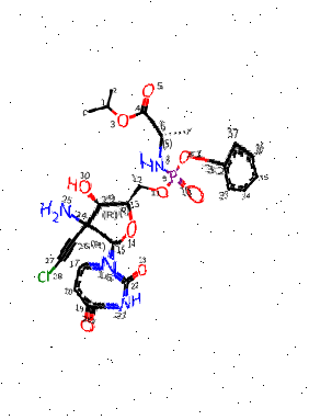 CC(C)OC(=O)[C@H](C)NP(=O)(OC[C@H]1O[C@@H](n2ccc(=O)[nH]c2=O)C(N)(C#CCl)[C@H]1O)Oc1ccccc1